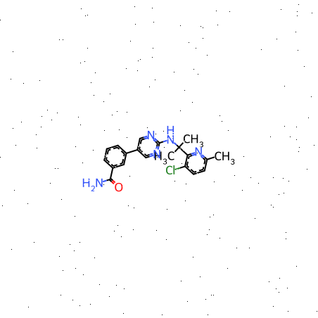 Cc1ccc(Cl)c(C(C)(C)Nc2ncc(-c3cccc(C(N)=O)c3)cn2)n1